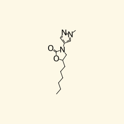 CCCCCCC1CN(c2cnn(C)c2)C(=O)O1